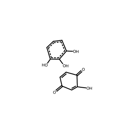 O=C1C=CC(=O)C(O)=C1.Oc1cccc(O)c1O